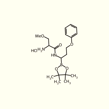 COCC(N)C(=O)NC(CCOc1ccccc1)B1OC(C)(C)C(C)(C)O1.Cl